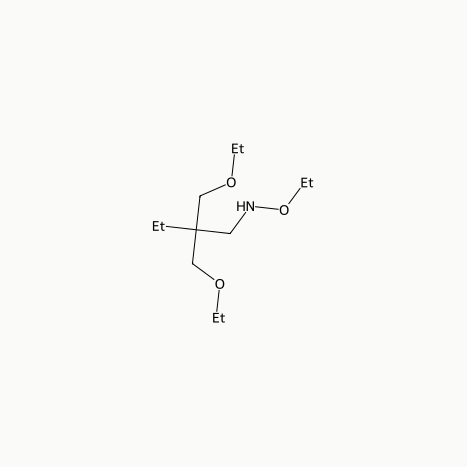 [CH2]CC(CNOCC)(COCC)COCC